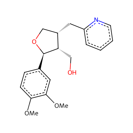 COc1ccc([C@H]2OC[C@H](Cc3ccccn3)[C@@H]2CO)cc1OC